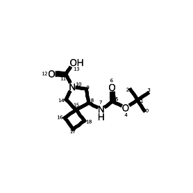 CC(C)(C)OC(=O)NC1CN(C(=O)O)CC12CCC2